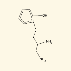 NCC(N)CCc1ccccc1O